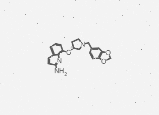 Nc1ccc2cccc(O[C@H]3CCN(Cc4ccc5c(c4)OCO5)C3)c2n1